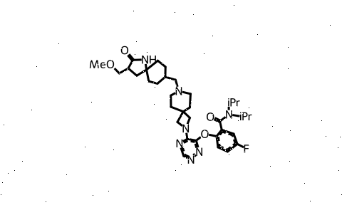 COCC1CC2(CCC(CN3CCC4(CC3)CN(c3ncnnc3Oc3ccc(F)cc3C(=O)N(C(C)C)C(C)C)C4)CC2)NC1=O